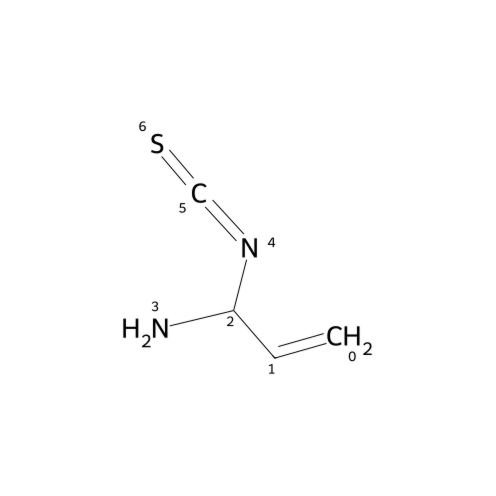 C=CC(N)N=C=S